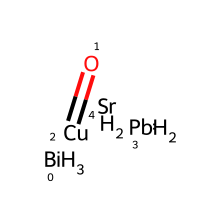 [BiH3].[O]=[Cu].[PbH2].[SrH2]